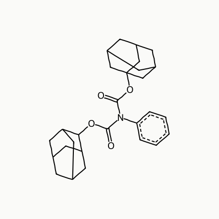 O=C(OC1C2CC3CC(C2)CC1C3)N(C(=O)OC12CC3CC(CC(C3)C1)C2)c1ccccc1